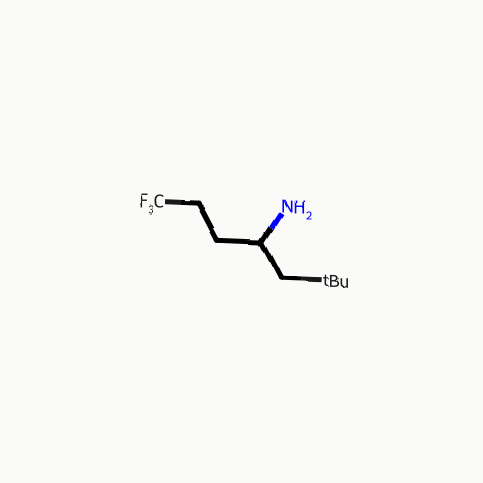 CC(C)(C)CC(N)CCC(F)(F)F